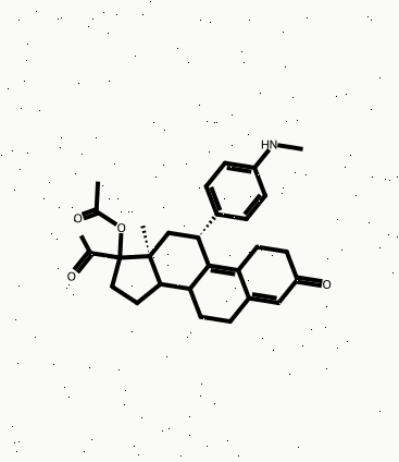 CNc1ccc([C@H]2C[C@@]3(C)C(CCC3(OC(C)=O)C(C)=O)C3CCC4=CC(=O)CCC4=C32)cc1